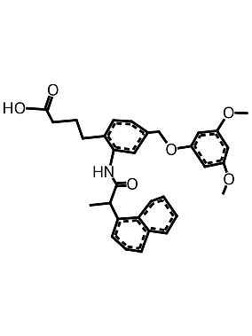 COc1cc(OC)cc(OCc2ccc(CCCC(=O)O)c(NC(=O)C(C)c3cccc4ccccc34)c2)c1